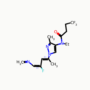 C=N/C=C(F)\C=C(/C)n1cc(N(CC)C(=O)CCC(F)(F)F)c(C)n1